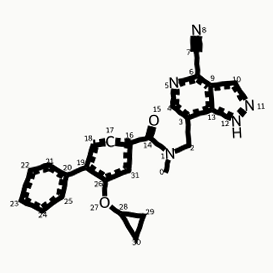 CN(Cc1cnc(C#N)c2cn[nH]c12)C(=O)c1ccc(-c2ccccc2)c(OC2CC2)c1